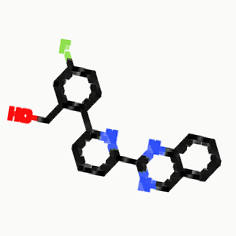 OCc1cc(F)ccc1-c1cccc(-c2ncc3ccccc3n2)n1